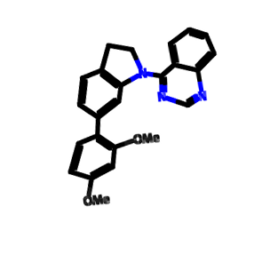 COc1ccc(-c2ccc3c(c2)N(c2ncnc4ccccc24)CC3)c(OC)c1